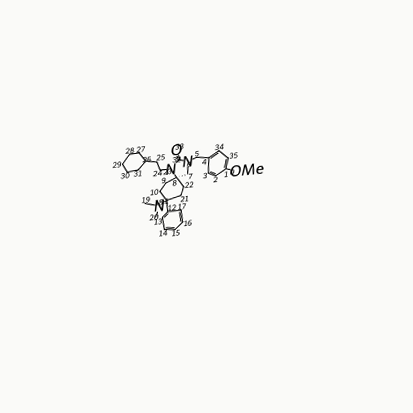 COc1ccc(CN2C[C@]3(CC[C@](c4ccccc4)(N(C)C)CC3)N(CCC3CCCCC3)C2=O)cc1